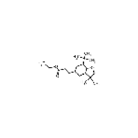 CCOC(=O)CCC1CC(C(C)(C)C)C2OCC(C)(C)C2C1